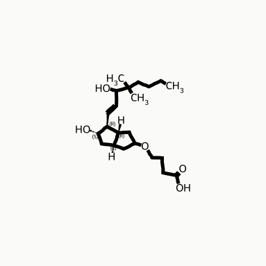 CCCCC(C)(C)C(O)C=C[C@H]1[C@@H]2CC(OCCCC(=O)O)C[C@H]2C[C@@H]1O